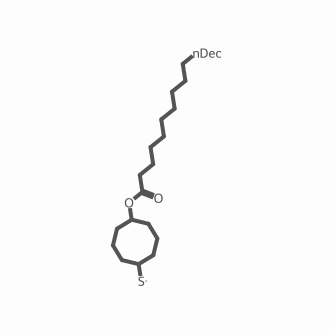 [CH2]CCCCCCCCCCCCCCCCCCC(=O)OC1CCCC([S])CCC1